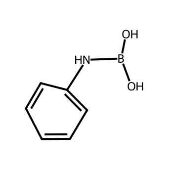 OB(O)Nc1ccccc1